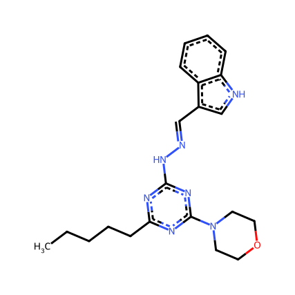 CCCCCc1nc(N/N=C/c2c[nH]c3ccccc23)nc(N2CCOCC2)n1